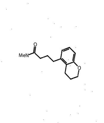 CNC(=O)CCCc1cccc2c1CCCO2